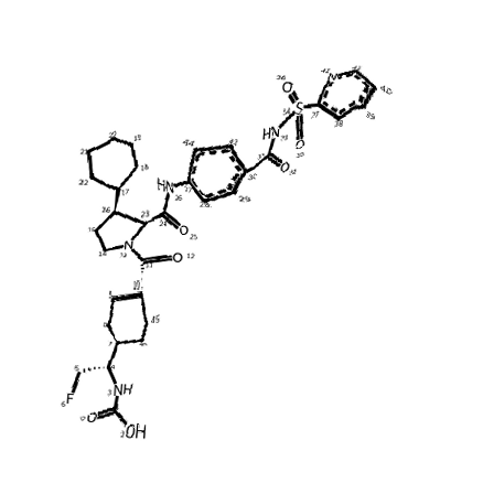 O=C(O)N[C@H](CF)[C@H]1CC[C@H](C(=O)N2CC[C@@H](C3CCCCC3)[C@H]2C(=O)Nc2ccc(C(=O)NS(=O)(=O)c3ccccn3)cc2)CC1